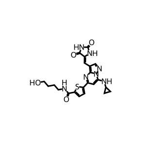 O=C1NC(=O)/C(=C/c2cnn3c(NC4CC4)cc(-c4ccc(C(=O)NCCCCO)s4)nc23)N1